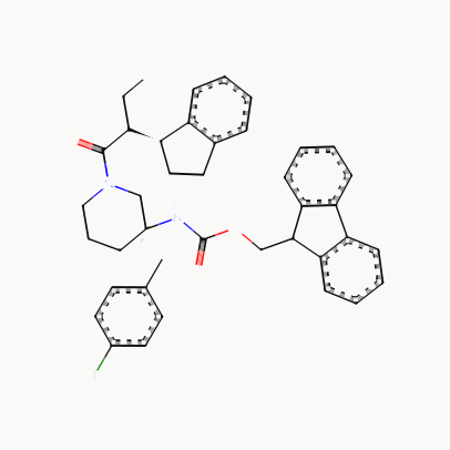 O=C(O)CC(C(=O)N1CCC[C@](Cc2ccc(Cl)cc2)(NC(=O)OCC2c3ccccc3-c3ccccc32)C1)[C@@H]1CCc2ccccc21